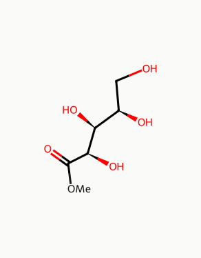 COC(=O)[C@H](O)[C@@H](O)[C@H](O)CO